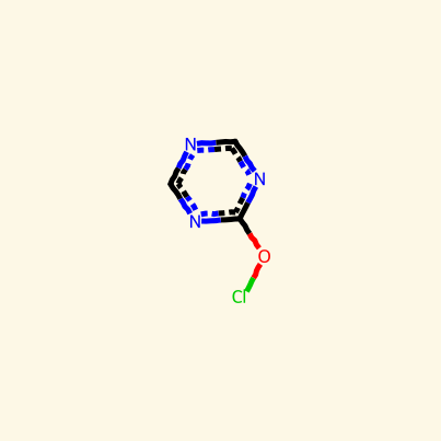 ClOc1ncncn1